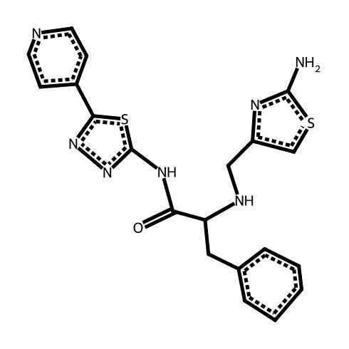 Nc1nc(CNC(Cc2ccccc2)C(=O)Nc2nnc(-c3ccncc3)s2)cs1